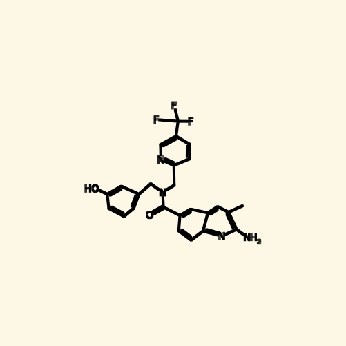 Cc1cc2cc(C(=O)N(Cc3cccc(O)c3)Cc3ccc(C(F)(F)F)cn3)ccc2nc1N